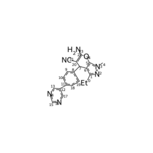 CCc1nn(C)c2c1C(c1ccc(-c3cncnc3)cc1)C(C#N)=C(N)O2